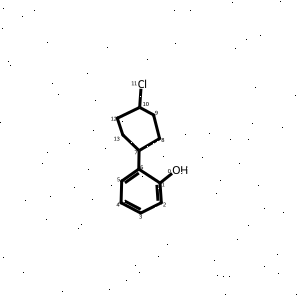 Oc1ccccc1C1CCC(Cl)CC1